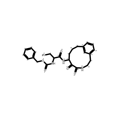 CC(C)CC(NC(=O)OCc1ccccc1)C(=O)NC1CCCc2cccc(c2)CCNC(=O)C1=O